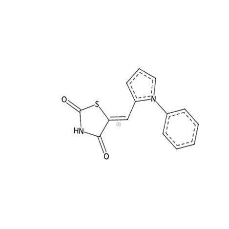 O=C1NC(=O)/C(=C/c2cccn2-c2ccccc2)S1